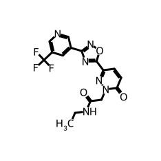 CCNC(=O)Cn1nc(-c2nc(-c3cncc(C(F)(F)F)c3)no2)ccc1=O